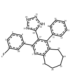 Fc1cccc(-c2nc3c(c(-c4ccccc4)c2-c2nnn[nH]2)CCCCC3)c1